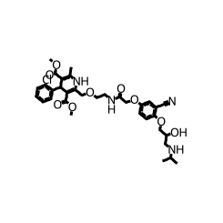 COC(=O)C1=C(C)NC(COCCNC(=O)COc2ccc(OCC(O)CNC(C)C)c(C#N)c2)=C(C(=O)OC)C1c1ccccc1Cl